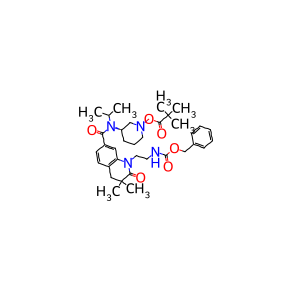 CC(C)N(C(=O)c1ccc2c(c1)N(CCNC(=O)OCc1ccccc1)C(=O)C(C)(C)C2)[C@@H]1CCCN(OC(=O)C(C)(C)C)C1